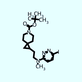 CN(CCC1CC12CCN(C(=O)OC(C)(C)C)CC2)c1ccc(I)nn1